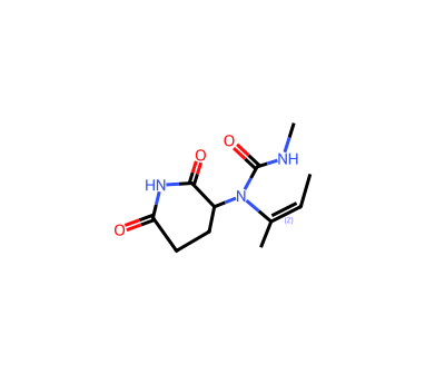 C/C=C(/C)N(C(=O)NC)C1CCC(=O)NC1=O